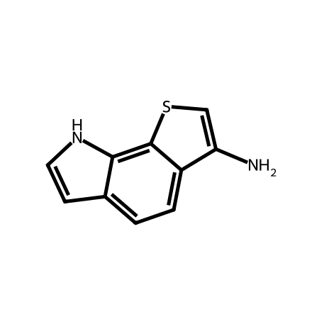 Nc1csc2c1ccc1cc[nH]c12